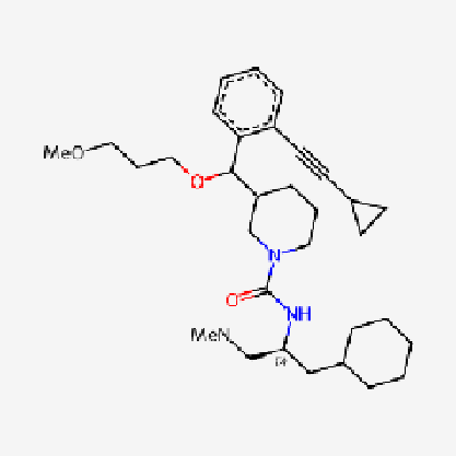 CNC[C@H](CC1CCCCC1)NC(=O)N1CCCC(C(OCCCOC)c2ccccc2C#CC2CC2)C1